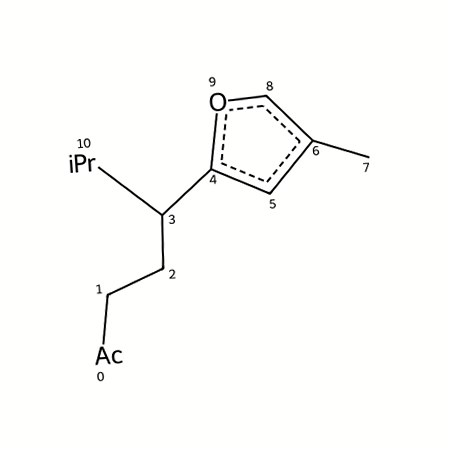 CC(=O)CCC(c1cc(C)co1)C(C)C